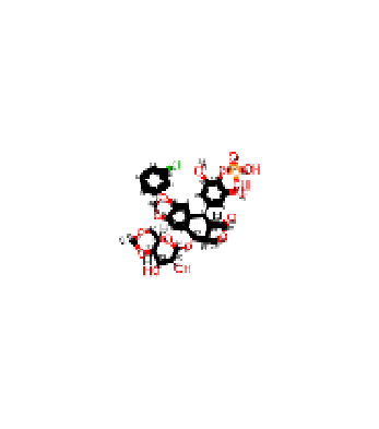 COc1cc([C@@H]2c3cc4c(cc3[C@@H](O[C@@H]3O[C@@H]5CO[C@@H](C)O[C@H]5[C@H](O)[C@H]3O)[C@H]3COC(=O)[C@H]23)OCO4)cc(OC)c1OP(=O)(O)O.Clc1ccccc1